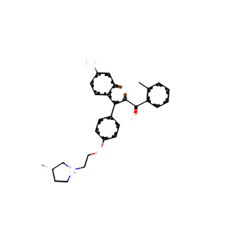 Cc1ccccc1C(=O)c1sc2cc(O)ccc2c1-c1ccc(OCCN2CC[C@@H](C)C2)cc1